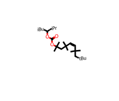 CCC(C)C(OC(=O)OC(C)(C)CC(C)(C)/C=C\C(C)(C)CC(C)(C)C)C(C)C